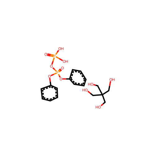 O=P(O)(O)OP(=O)(Oc1ccccc1)Oc1ccccc1.OCC(CO)(CO)CO